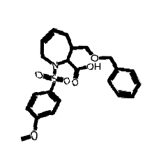 COc1ccc(S(=O)(=O)N2CC=CCC(COCc3ccccc3)C2C(=O)O)cc1